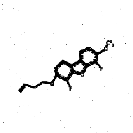 C=CCCOc1ccc2c(oc3c(F)c(OC(F)(F)F)ccc32)c1F